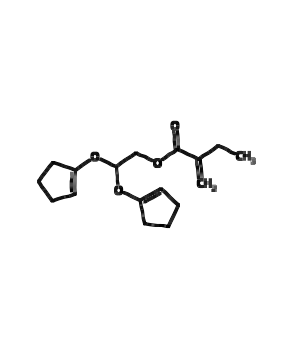 C=C(CC)C(=O)OCC(OC1=CCCC1)OC1=CCCC1